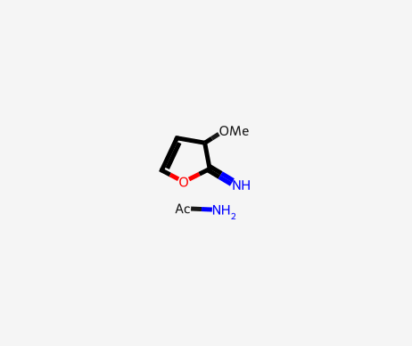 CC(N)=O.COC1C=COC1=N